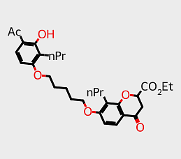 CCCc1c(OCCCCCOc2ccc3c(c2CCC)OC(C(=O)OCC)CC3=O)ccc(C(C)=O)c1O